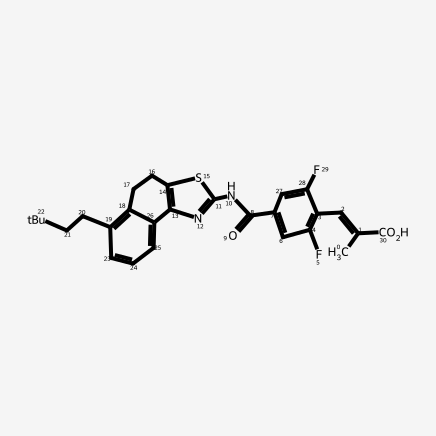 CC(=Cc1c(F)cc(C(=O)Nc2nc3c(s2)CCc2c(CCC(C)(C)C)cccc2-3)cc1F)C(=O)O